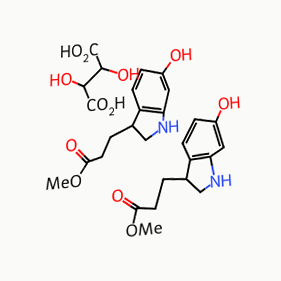 COC(=O)CCC1CNc2cc(O)ccc21.COC(=O)CCC1CNc2cc(O)ccc21.O=C(O)C(O)C(O)C(=O)O